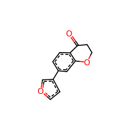 O=C1CCOc2cc(-c3ccoc3)ccc21